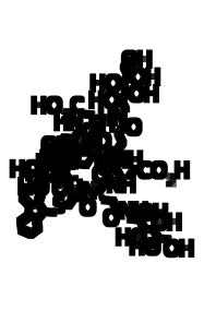 O=C(O)CC[C@H](NC(=O)C(CCC(=O)NC[C@H](O)[C@@H](O)[C@H](O)[C@H](O)CO)NC(=O)[C@H](CCC(=O)O)NC(=O)[C@H](CCC(=O)NC[C@H](O)[C@@H](O)[C@H](O)[C@H](O)CO)NC(=O)CCSCC1c2ccccc2-c2ccccc21)C(=O)NC(CCC(=O)NC[C@H](O)[C@@H](O)[C@H](O)[C@H](O)CO)C(=O)NC(CS)C(=O)O